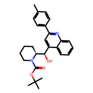 Cc1ccc(-c2cc([C@@H](O)[C@@H]3CCCCN3C(=O)OC(C)(C)C)c3ccccc3n2)cc1